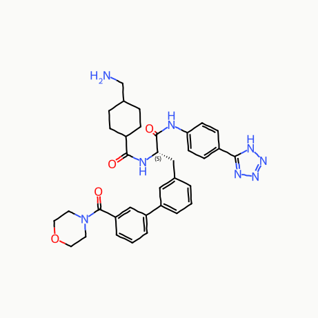 NCC1CCC(C(=O)N[C@@H](Cc2cccc(-c3cccc(C(=O)N4CCOCC4)c3)c2)C(=O)Nc2ccc(-c3nnn[nH]3)cc2)CC1